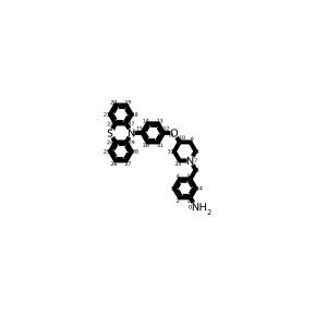 Nc1cccc(CN2CCC(Oc3ccc(N4c5ccccc5Sc5ccccc54)cc3)CC2)c1